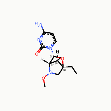 CC[C@]12CN(OC)[C@H]([C@H](n3ccc(N)nc3=O)O1)[C@H]2C